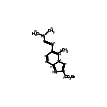 CCOC(=O)c1cn2c(C)c(N=CN(C)C)ccc2n1